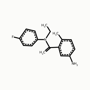 C=C(c1cc(N)ccc1C)N(CC)c1ccc(F)cc1